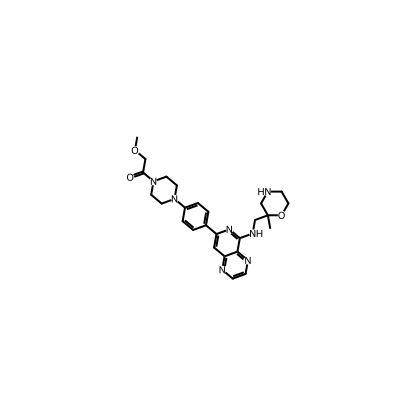 COCC(=O)N1CCN(c2ccc(-c3cc4nccnc4c(NCC4(C)CNCCO4)n3)cc2)CC1